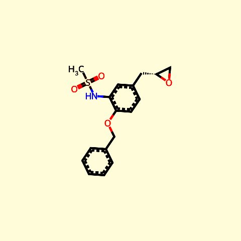 CS(=O)(=O)Nc1cc(C[C@@H]2CO2)ccc1OCc1ccccc1